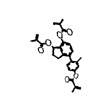 C=C(C)C(=O)Oc1ccc(-c2ccc(OC(=O)C(=C)C)c3c2CCC3OC(=O)C(=C)C)c(C)c1